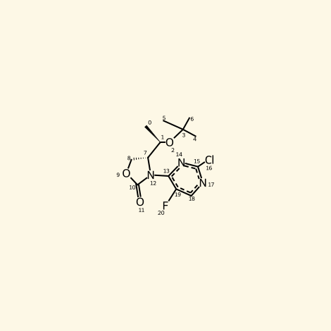 C[C@@H](OC(C)(C)C)[C@H]1COC(=O)N1c1nc(Cl)ncc1F